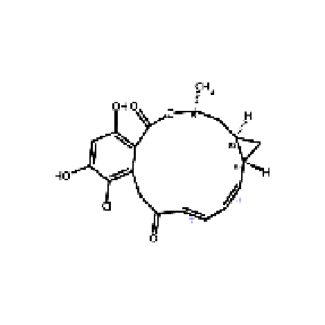 C[C@@H]1C[C@H]2C[C@@H]2/C=C\C=C\C(=O)Cc2c(Cl)c(O)cc(O)c2C(=O)O1